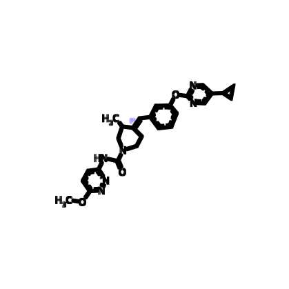 COc1ccc(NC(=O)N2CC/C(=C\c3cccc(Oc4ncc(C5CC5)cn4)c3)C(C)C2)nn1